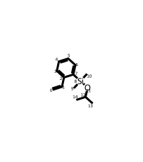 C=Cc1ccccc1[Si](C)(C)OC(C)C